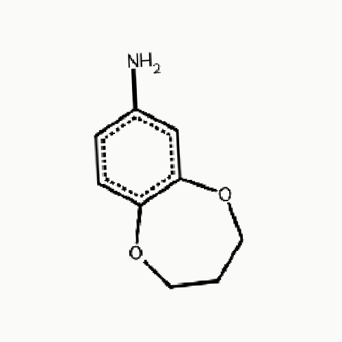 Nc1ccc2c(c1)OCCCO2